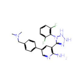 CN(C)Cc1ccc(-c2cnc(N)c(C3=NNNN3c3c(F)cccc3F)c2)cc1